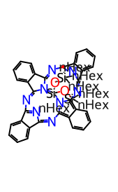 CCCCCC[Si](CCCCCC)(CCCCCC)O[Si]1(O[Si](CCCCCC)(CCCCCC)CCCCCC)n2c3c4ccccc4c2N=C2N=C(N=c4c5ccccc5c(n41)=NC1=NC(=N3)c3ccccc31)c1ccccc12